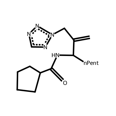 C=C(Cn1ncnn1)C(CCCCC)NC(=O)C1CCCC1